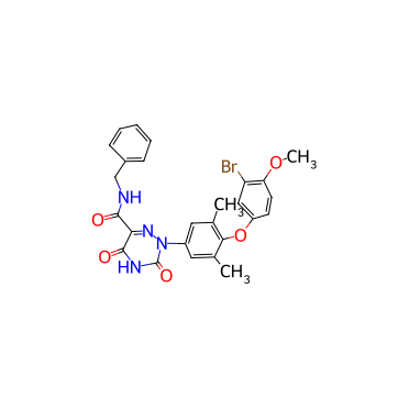 COc1ccc(Oc2c(C)cc(-n3nc(C(=O)NCc4ccccc4)c(=O)[nH]c3=O)cc2C)cc1Br